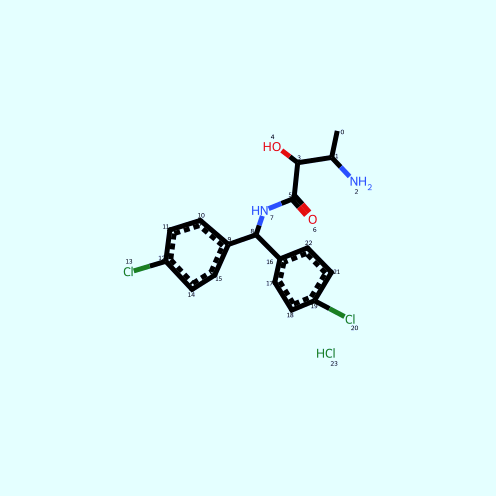 CC(N)C(O)C(=O)NC(c1ccc(Cl)cc1)c1ccc(Cl)cc1.Cl